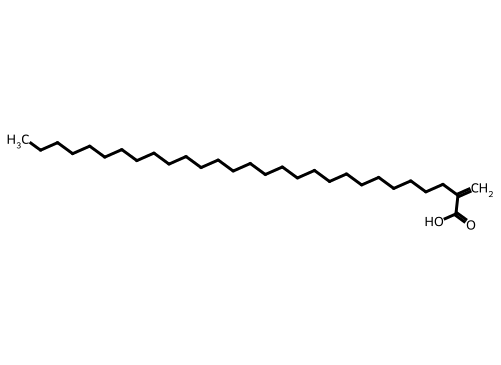 C=C(CCCCCCCCCCCCCCCCCCCCCCCCCCC)C(=O)O